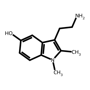 Cc1c(CCN)c2cc(O)ccc2n1C